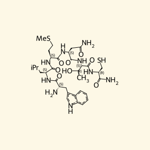 CSCC[C@H](NC(=O)[C@H](CC(C)C)NC(=O)[C@@H](N)Cc1c[nH]c2ccccc12)C(=O)N[C@@H](CC(N)=O)C(=O)N[C@H](C(=O)N[C@@H](CS)C(N)=O)[C@@H](C)O